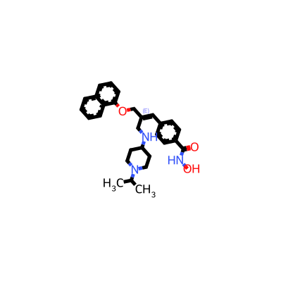 CC(C)N1CCC(NC/C(=C\c2ccc(C(=O)NO)cc2)COc2cccc3ccccc23)CC1